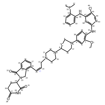 COc1cc(N2CCC(N3CCN(C/C=C\c4cccc5c4CN(C4CCC(=O)NC4=O)C5=O)CC3)CC2)ccc1Nc1ncc(Cl)c(Nc2ccccc2P(C)C)n1